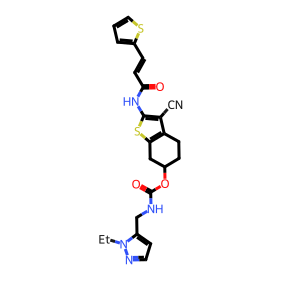 CCn1nccc1CNC(=O)OC1CCc2c(sc(NC(=O)C=Cc3cccs3)c2C#N)C1